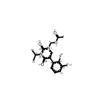 CC(=O)OCn1cc(-c2cccc(F)c2F)c(=O)n(C(C)C)c1=O